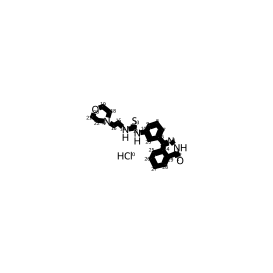 Cl.O=c1[nH]nc(-c2cccc(NC(=S)NCCN3CCOCC3)c2)c2ccccc12